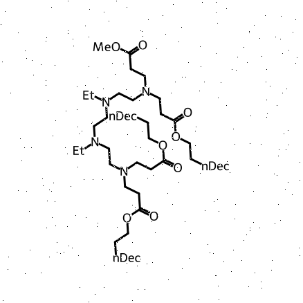 CCCCCCCCCCCCOC(=O)CCN(CCC(=O)OC)CCN(CC)CCN(CC)CCN(CCC(=O)OCCCCCCCCCCCC)CCC(=O)OCCCCCCCCCCCC